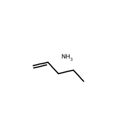 C=CCCC.N